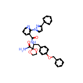 NC(=O)C1(C(Cc2ccc(OCc3ccccc3)cc2)NC(=O)c2cccnc2-n2ccc(-c3ccccc3)n2)OCCO1